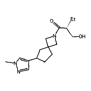 CC[C@H](CO)C(=O)N1CC2(CCC(c3cnn(C)c3)C2)C1